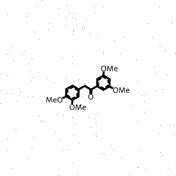 COc1cc(OC)cc(C(=O)Cc2ccc(OC)c(OC)c2)c1